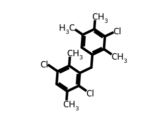 Cc1cc(Cc2c(C)c(Cl)cc(C)c2Cl)c(C)c(Cl)c1C